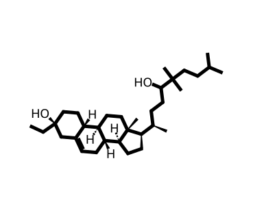 CC[C@]1(O)CC[C@H]2C(=CC[C@@H]3[C@@H]2CC[C@]2(C)[C@@H]([C@H](C)CCC(O)C(C)(C)CCC(C)C)CC[C@@H]32)C1